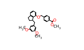 COC(=O)c1ccc(COc2cccc3c2C(Cc2cc(OC)cc(OC)c2)CC3)cc1